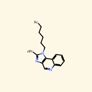 CCCc1nc2cnc3ccccc3c2n1CCCCCC(C)=O